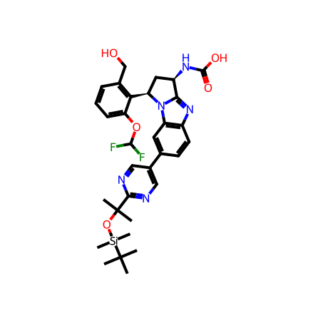 CC(C)(O[Si](C)(C)C(C)(C)C)c1ncc(-c2ccc3nc4n(c3c2)[C@@H](c2c(CO)cccc2OC(F)F)C[C@H]4NC(=O)O)cn1